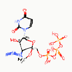 CO[C@]1(COP(=O)(O)OP(=O)(O)OP(=O)(O)O)O[C@@H](n2ccc(=O)[nH]c2=O)[C@H](O)C1N=[N+]=[N-]